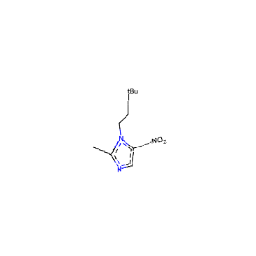 Cc1ncc([N+](=O)[O-])n1CCC(C)(C)C